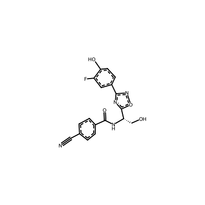 N#Cc1ccc(C(=O)N[C@@H](CO)c2nc(-c3ccc(O)c(F)c3)no2)cc1